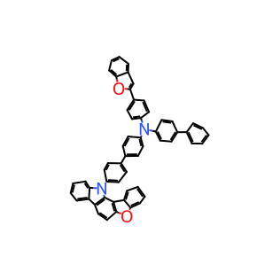 c1ccc(-c2ccc(N(c3ccc(-c4ccc(-n5c6ccccc6c6ccc7oc8ccccc8c7c65)cc4)cc3)c3ccc(-c4cc5ccccc5o4)cc3)cc2)cc1